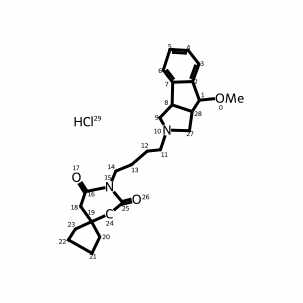 COC1c2ccccc2C2CN(CCCCN3C(=O)CC4(CCCC4)CC3=O)CC21.Cl